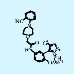 COc1ccc(NC(=O)CN2CCN(c3ccccc3C#N)CC2)cc1-c1c(Cl)cnn1C